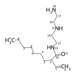 C=CC(CCCCCCC)C(=O)NCCNCCN